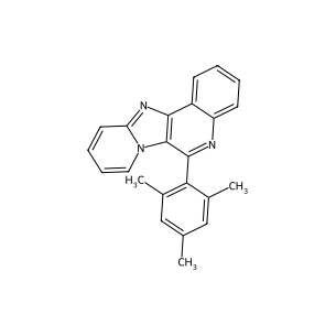 Cc1cc(C)c(-c2nc3ccccc3c3nc4ccccn4c23)c(C)c1